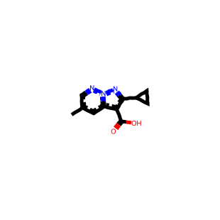 Cc1cnn2nc(C3CC3)c(C(=O)O)c2c1